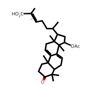 CC(=O)OC1CC(C(C)CC/C=C(\C)C(=O)O)C2(C)CC=C3C(=CCC4C(C)(C)C(=O)CCC34C)C12C